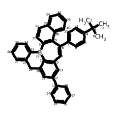 CC(C)(C)c1ccc(C2=Cc3cc(-c4ccccc4)cc4c3B(c3ccccc3C4)c3ccc4ccccc4c32)cc1